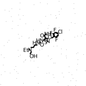 CCN(CCO)CCCCNC(=O)Nc1snc(OCc2c(F)cc(Cl)c(F)c2F)c1C(N)=O